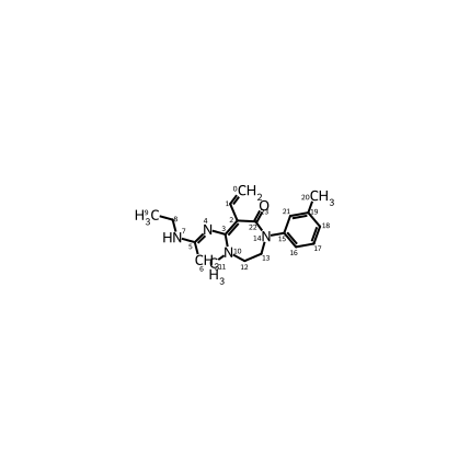 C=CC1=C(/N=C(\C)NCC)N(C)CCN(c2cccc(C)c2)C1=O